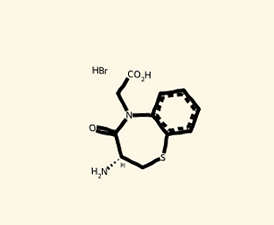 Br.N[C@H]1CSc2ccccc2N(CC(=O)O)C1=O